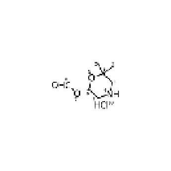 CC1(C)CNC[C@H](OC=O)O1.Cl